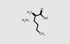 C=C(CCCC)C(=O)O.[PoH2]